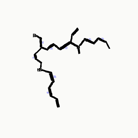 C=C/C=C\C=C/NC\C=C/C(=C\CC)/C=C/C=C(\C=C)N(C)/C=C/C=C\C